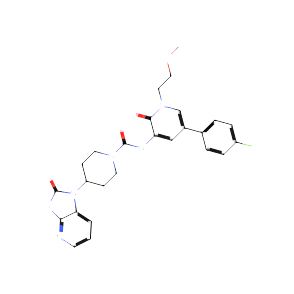 COCCn1cc(-c2ccc(F)cc2)cc(NC(=O)N2CCC(n3c(=O)[nH]c4ncccc43)CC2)c1=O